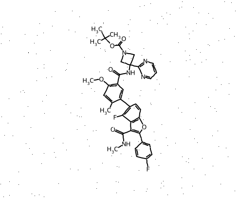 CNC(=O)c1c(-c2ccc(F)cc2)oc2ccc(-c3cc(C(=O)NC4(c5ncccn5)CN(C(=O)OC(C)(C)C)C4)c(OC)cc3C)c(F)c12